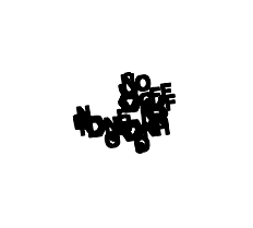 COc1cc(C(=O)NC2CCn3ccnc3C2)c(F)cc1Nc1ncc(C(F)(F)F)c(Oc2cccc3c2C(=O)N(C)C3)n1